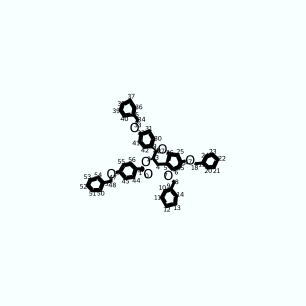 O=C(O[C@@H]1Cc2c(OCc3ccccc3)cc(OCc3ccccc3)cc2O[C@@H]1c1ccc(OCc2ccccc2)cc1)c1ccc(OCc2ccccc2)cc1